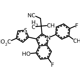 Cc1cc(-n2c(C(C)(C)CC#N)c(-c3cc(C(=O)O)cs3)c3c(O)cc(F)cc32)ccc1F